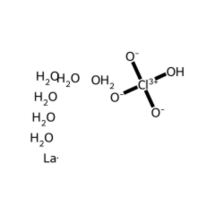 O.O.O.O.O.O.[La].[O-][Cl+3]([O-])([O-])O